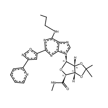 CCCNc1nc(-c2cc(-c3ccccn3)no2)nc2c1ncn2[C@@H]1O[C@H](C(=O)NC)[C@H]2OC(C)(C)O[C@H]21